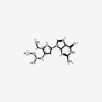 COP(O)O[C@@H]1C[C@H](N2C=NC3C(=O)NC(N)=NC32)O[C@@H]1CO